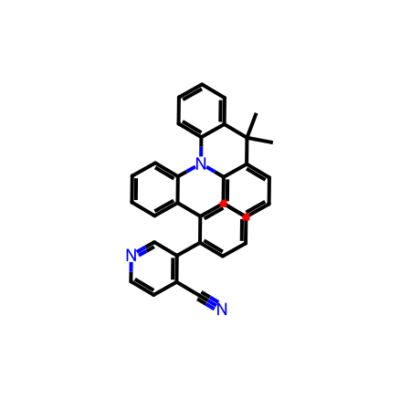 CC1(C)c2ccccc2N(c2ccccc2-c2ccccc2-c2cnccc2C#N)c2ccccc21